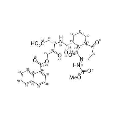 COC(=O)NN1CCC(=O)N2CCC[C@@H](C(=O)N[C@@H](CC(=O)O)C(=O)COC(=O)c3cccc4ccccc34)N2C1=O